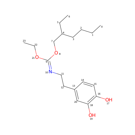 CCCCC(CC)COC(=NCCc1ccc(O)c(O)c1)OCC